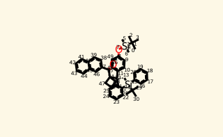 CC(C)(C)[Si](C)(C)Oc1ccc([C@@]2(C[Si](c3ccccc3)(c3ccccc3)C(C)(C)C)CC3CC2(C(=O)c2ccc4ccccc4c2)C3)cc1